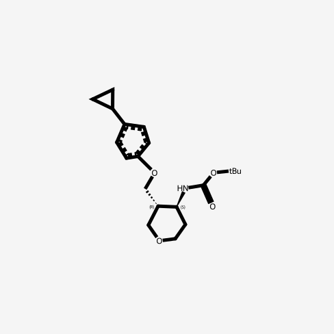 CC(C)(C)OC(=O)N[C@H]1CCOC[C@@H]1COc1ccc(C2CC2)cc1